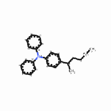 [CH3][Cm][CH2]CC(C)c1ccc(N(c2ccccc2)c2ccccc2)cc1